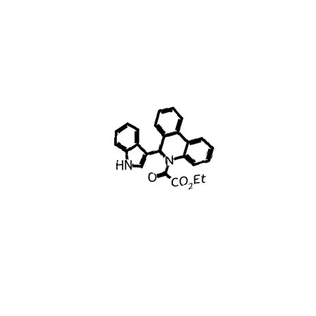 CCOC(=O)C(=O)N1c2ccccc2-c2ccccc2C1c1c[nH]c2ccccc12